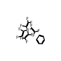 FC(F)=C(F)[B-](C(F)=C(F)F)(C(F)=C(F)F)C(F)=C(F)F.c1ccccc1